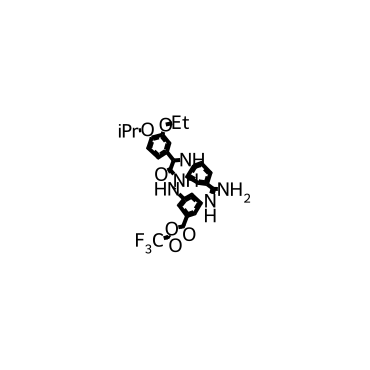 CCOc1cc(C(Nc2ccc(C(=N)N)cc2)C(=O)NNc2cccc(C(=O)OC(=O)C(F)(F)F)c2)ccc1OC(C)C